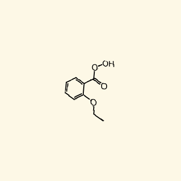 CCOc1ccccc1C(=O)OO